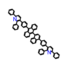 c1ccc(-c2ccc(-c3ccc(-c4ccc(-c5c6ccccc6c(-c6ccc(-c7ccc(-c8ccccc8)nc7-c7ccccc7)cc6)c6ccccc56)c5ccccc45)cc3)c(-c3ccccc3)n2)cc1